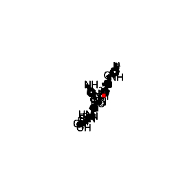 Cc1cc(C(=O)NC2CCC(N(C)C)CC2)ccc1-c1ccc(C[C@H](NC(=O)[C@H]2CC[C@H](CN)CC2)C(=O)Nc2ccc(-c3nnc(C(F)(F)C(F)(F)C(F)(F)C(=O)O)[nH]3)cc2)cc1.Cl